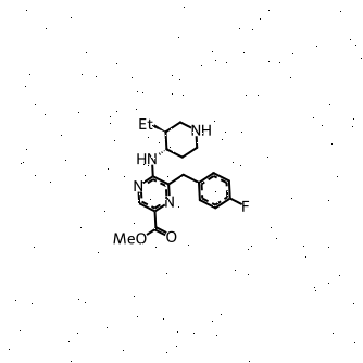 CC[C@H]1CNCC[C@@H]1Nc1ncc(C(=O)OC)nc1Cc1ccc(F)cc1